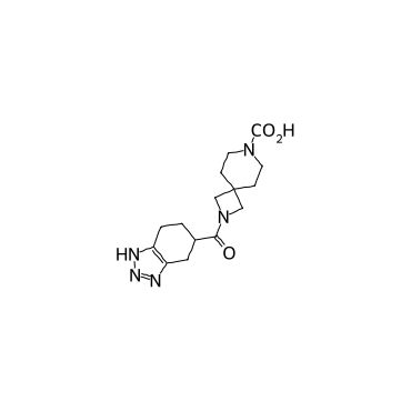 O=C(O)N1CCC2(CC1)CN(C(=O)C1CCc3[nH]nnc3C1)C2